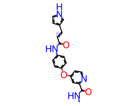 CNC(=O)c1cc(Oc2ccc(NC(=O)/C=C/c3cc[nH]c3)cc2)ccn1